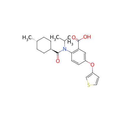 CC(C)N(c1ccc(Oc2ccsc2)cc1C(=O)O)C(=O)[C@H]1CC[C@H](C)CC1